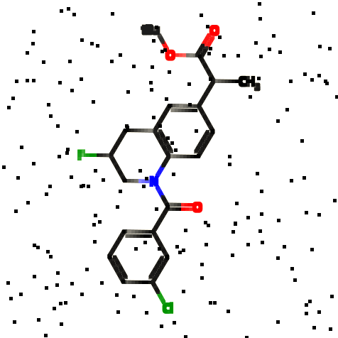 CC(C(=O)OC(C)(C)C)c1ccc2c(c1)CC(F)CN2C(=O)c1cccc(Cl)c1